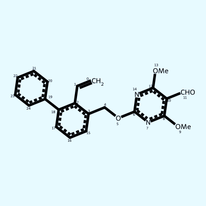 C=Cc1c(COc2nc(OC)c(C=O)c(OC)n2)cccc1-c1ccccc1